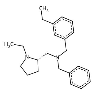 CCc1cccc(CN(Cc2ccccc2)C[C@@H]2CCCN2CC)c1